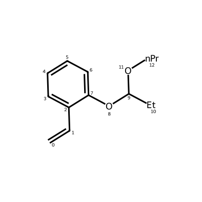 C=Cc1ccccc1OC(CC)OCCC